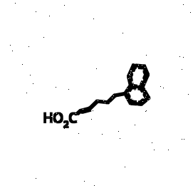 O=C(O)/C=C/CCCc1cccc2ccccc12